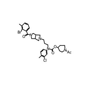 CC(=O)N1CCC(OC(=O)N(CCCN2CC3CN(C(=O)c4cccc(C)c4Br)CC3C2)c2ccc(C)c(Cl)c2)CC1